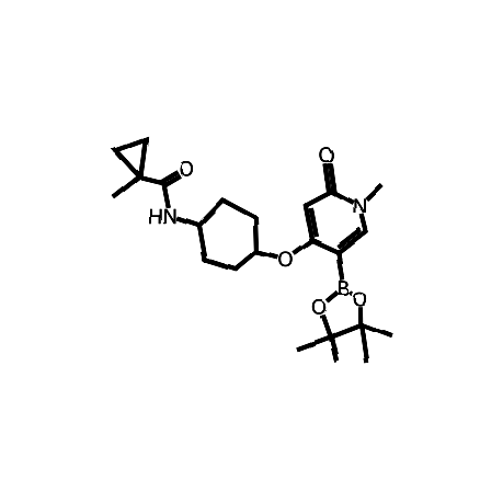 Cn1cc(B2OC(C)(C)C(C)(C)O2)c(OC2CCC(NC(=O)C3(C)CC3)CC2)cc1=O